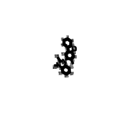 Cc1cc2oc3ccccc3c2cc1N1c2ccccc2N(C)C1C